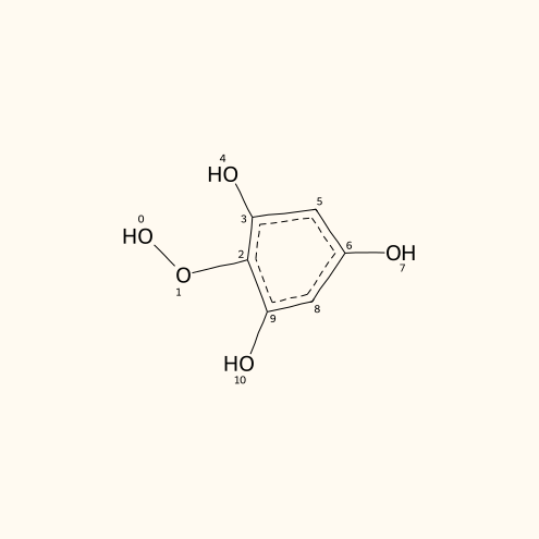 OOc1c(O)cc(O)cc1O